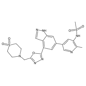 Cc1ncc(-c2cc(-c3nnc(CN4CCS(=O)(=O)CC4)o3)c3cn[nH]c3c2)cc1NS(C)(=O)=O